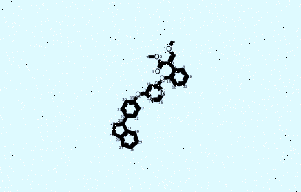 COC=C(C(=O)OC)c1ccccc1Oc1cc(Oc2ccc(C3CCc4ccccc43)cc2)ncn1